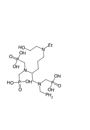 CCN(CCO)CCCC(CN(CP)CP(=O)(O)O)N(CP(=O)(O)O)CP(=O)(O)O